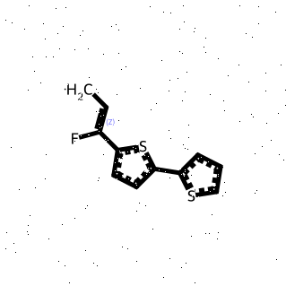 [CH2]/C=C(\F)c1ccc(-c2cccs2)s1